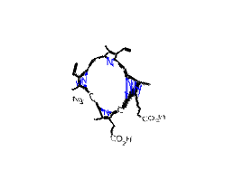 C=CC1=C(C)c2cc3[nH]c(cc4nc(cc5[nH]c(cc1n2)c(C)c5CCC(=O)O)C(CCC(=O)O)=C4C)c(C)c3C=C.[Ag]